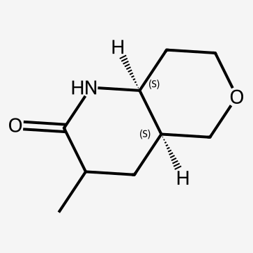 CC1C[C@@H]2COCC[C@@H]2NC1=O